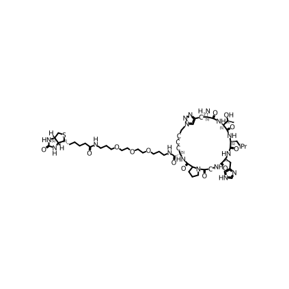 CC(C)C[C@@H]1NC(=O)[C@H]([C@H](C)O)NC(=O)[C@@H](N)Cc2cn(nn2)CCCC[C@@H](C(=O)NCCCOCCOCCOCCCNC(=O)CCCC[C@H]2SC[C@H]3NC(=O)N[C@H]32)NC(=O)C2CCCN2C(=O)CNC(=O)[C@H](Cc2c[nH]cn2)NC1=O